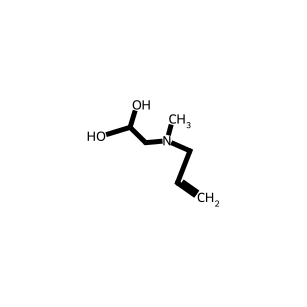 C=CCN(C)CC(O)O